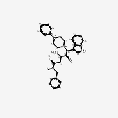 CN(Cc1ccccc1)C(=O)CC(N)C(=O)C(c1c[nH]c2ccccc12)N1CCN(c2ccccc2)CC1